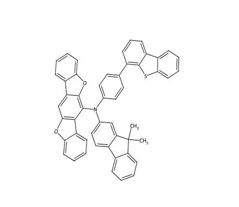 CC1(C)c2ccccc2-c2ccc(N(c3ccc(-c4cccc5c4sc4ccccc45)cc3)c3c4oc5ccccc5c4cc4oc5ccccc5c34)cc21